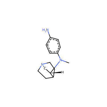 CN(c1ccc(N)cc1)[C@H]1CN2CCC1CC2